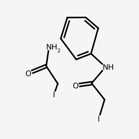 NC(=O)CI.O=C(CI)Nc1ccccc1